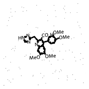 COc1ccc(-c2c(C(=O)O)c(Cc3nc[nH]n3)nc3cc(OC)c(OC)cc23)cc1OC